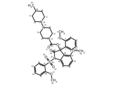 COc1ccccc1C1(OC(=O)N2CCN(N3CCC(C)CC3)CC2)C(=O)N(S(=O)(=O)c2ccccc2OC)c2cccc(OC)c21